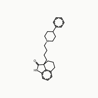 O=C1Nc2cccc3c2C1(CCCCN1CCC(c2ccccc2)CC1)CCC3